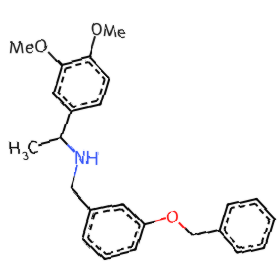 COc1ccc(C(C)NCc2cccc(OCc3ccccc3)c2)cc1OC